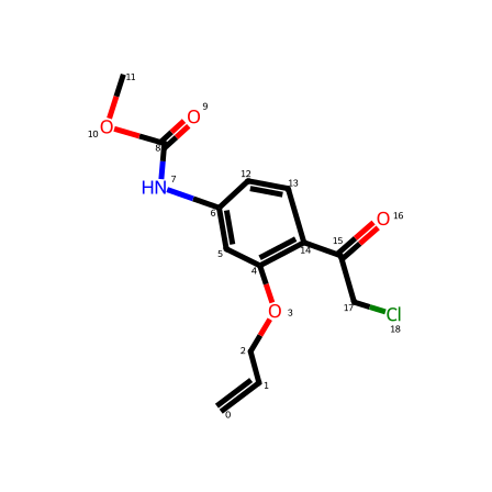 C=CCOc1cc(NC(=O)OC)ccc1C(=O)CCl